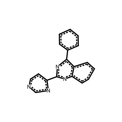 c1ccc(-c2nc(-c3ccncn3)nc3ccccc23)cc1